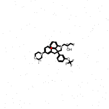 C[C@H]1CN(c2cccc(CC3(c4cccc(OC(F)(F)F)c4)CN(C[C@@H](O)CF)c4ccccc43)c2)CCO1